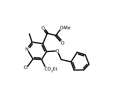 CCOC(=O)c1c(Cl)nc(C)c(C(=O)C(=O)OC)c1OCc1ccccc1